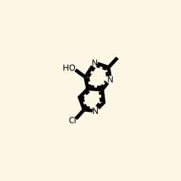 Cc1nc(O)c2cc(Cl)ncc2n1